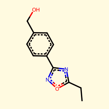 CCc1nc(-c2ccc(CO)cc2)no1